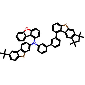 CC(C)(C)c1ccc2sc3cc(N(c4cccc(-c5cccc(-c6cccc7sc8cc9c(cc8c67)C(C)(C)CC9(C)C)c5)c4)c4cccc5oc6ccccc6c45)ccc3c2c1